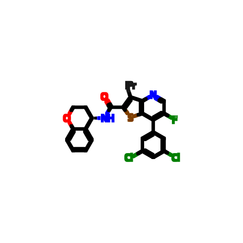 CC(C)c1c(C(=O)N[C@H]2CCOc3ccccc32)sc2c(-c3cc(Cl)cc(Cl)c3)c(F)cnc12